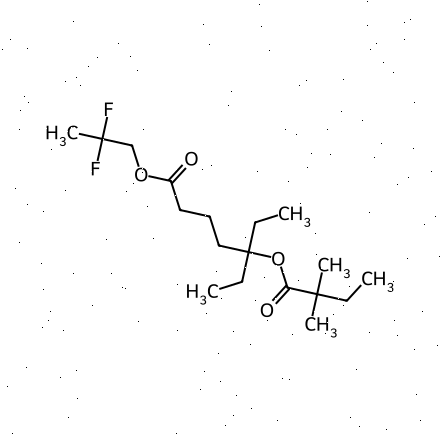 CCC(CC)(CCCC(=O)OCC(C)(F)F)OC(=O)C(C)(C)CC